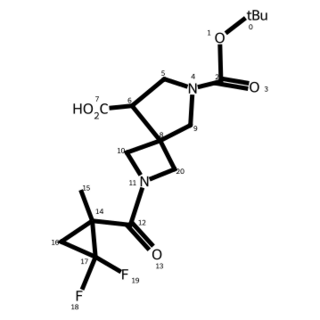 CC(C)(C)OC(=O)N1CC(C(=O)O)C2(C1)CN(C(=O)C1(C)CC1(F)F)C2